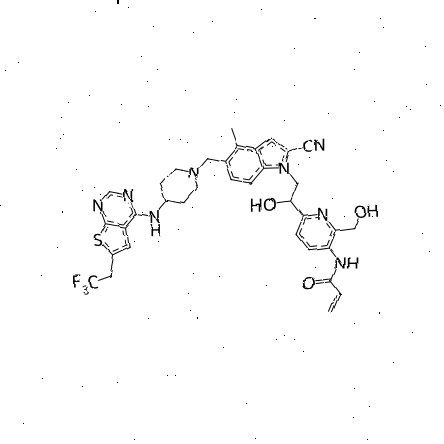 C=CC(=O)Nc1ccc(C(O)Cn2c(C#N)cc3c(C)c(CN4CCC(Nc5ncnc6sc(CC(F)(F)F)cc56)CC4)ccc32)nc1CO